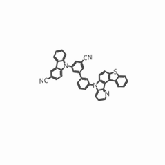 N#Cc1cc(-c2cccc(-n3c4cccnc4c4c5c(ccc43)sc3ccccc35)c2)cc(-n2c3ccccc3c3cc(C#N)ccc32)c1